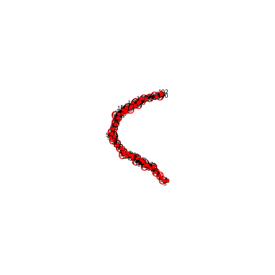 C=CC(=C)OCCOCCOCCOc1ccc(C(=O)Oc2ccc(C(=O)Oc3ccc(-c4ccc(C(=O)OCCOCCOCCOC(=O)CC(C)C(=O)OCCOCCOCCOC(=O)c5ccc(-c6ccc(OC(=O)c7ccc(OC(=O)c8ccc(OCCOCCOCCOC(=C)C=C)cc8)cc7)cc6)cc5)cc4)cc3)cc2)cc1